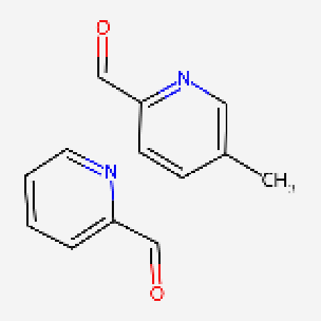 Cc1ccc(C=O)nc1.O=Cc1ccccn1